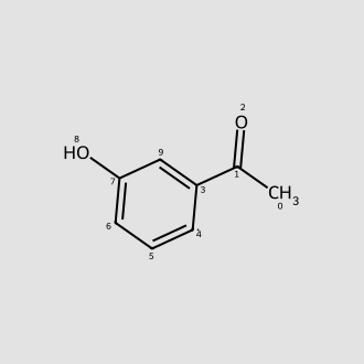 CC(=O)c1[c]ccc(O)c1